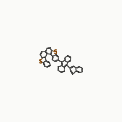 c1ccc2cc(-c3c4ccccc4c(-c4ccc5c(c4)sc4ccc6ccc7sc8ccccc8c7c6c45)c4ccccc34)ccc2c1